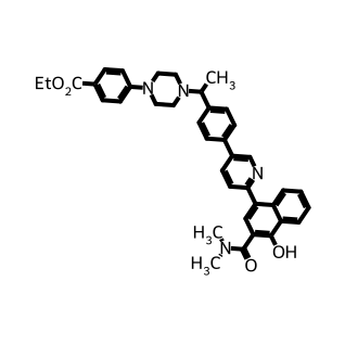 CCOC(=O)c1ccc(N2CCN(C(C)c3ccc(-c4ccc(-c5cc(C(=O)N(C)C)c(O)c6ccccc56)nc4)cc3)CC2)cc1